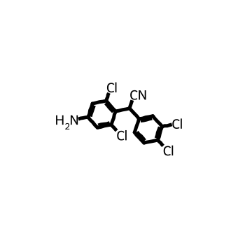 N#CC(c1ccc(Cl)c(Cl)c1)c1c(Cl)cc(N)cc1Cl